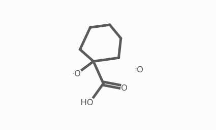 [O].[O]C1(C(=O)O)CCCCC1